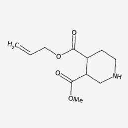 C=CCOC(=O)C1CCNCC1C(=O)OC